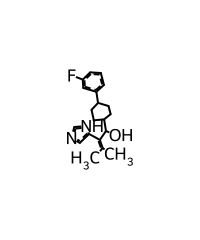 CC(C)=C(c1cnc[nH]1)C(O)C1CCC(c2cccc(F)c2)CC1